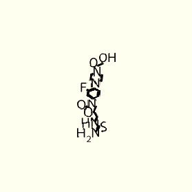 NC(=S)NCC1CN(c2ccc(N3CCN(C(=O)CO)CC3)c(F)c2)C(=O)O1